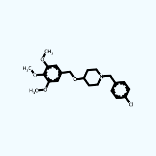 COc1cc(COC2CCN(Cc3ccc(Cl)cc3)CC2)cc(OC)c1OC